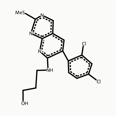 CSc1ncc2cc(-c3ccc(Cl)cc3Cl)c(NCCCO)nc2n1